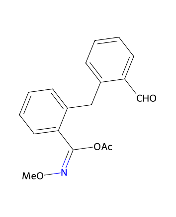 CO/N=C(/OC(C)=O)c1ccccc1Cc1ccccc1C=O